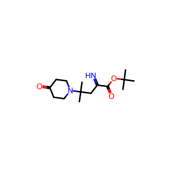 CC(C)(C)OC(=O)C(=N)CC(C)(C)N1CCC(=O)CC1